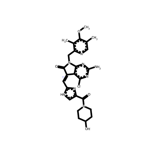 COc1c(C)cnc(CN2C(=O)/C(=C/c3nc(C(=O)N4CCC(O)CC4)c[nH]3)c3c(Cl)nc(N)nc32)c1C